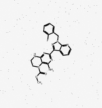 COC(=O)N1CCNc2nc(-c3nn(Cc4ccccc4F)c4ncccc34)nc(N)c21